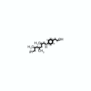 CC(C)CC(C)CC(C)CC(C)CNc1ccc(CCO)cc1